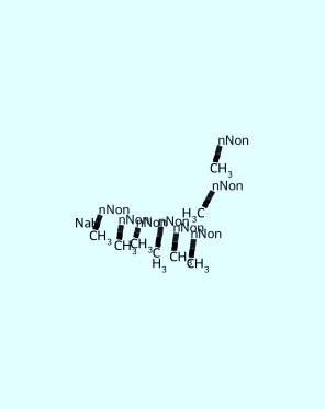 CCCCCCCCCC.CCCCCCCCCC.CCCCCCCCCC.CCCCCCCCCC.CCCCCCCCCC.CCCCCCCCCC.CCCCCCCCCC.CCCCCCCCCC.[NaH]